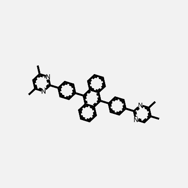 Cc1cc(C)nc(-c2ccc(-c3c4ccccc4c(-c4ccc(-c5ncc(C)c(C)n5)cc4)c4ccccc34)cc2)n1